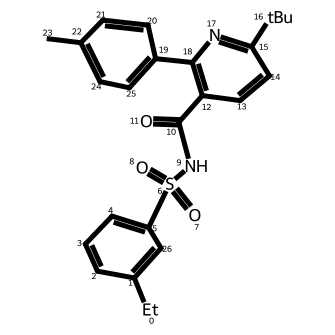 CCc1cccc(S(=O)(=O)NC(=O)c2ccc(C(C)(C)C)nc2-c2ccc(C)cc2)c1